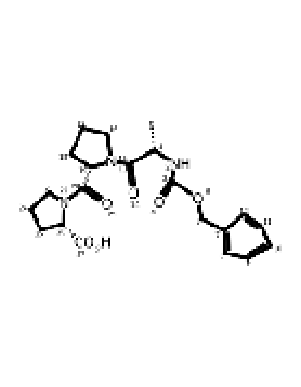 C[C@H](NC(=O)OCc1ccccc1)C(=O)N1CCC[C@H]1C(=O)N1CCC[C@H]1C(=O)O